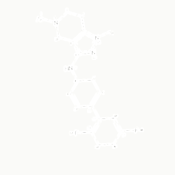 CC(=O)N1CCc2c(c(NC3C=CC(C4=C(F)CCC(F)=C4)=CC3)nn2C)C1